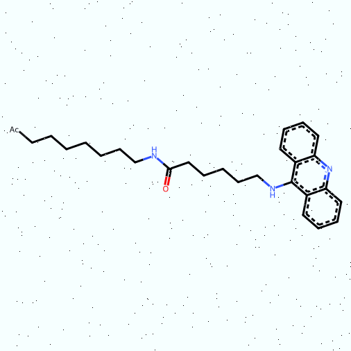 CC(=O)CCCCCCCNC(=O)CCCCCNc1c2ccccc2nc2ccccc12